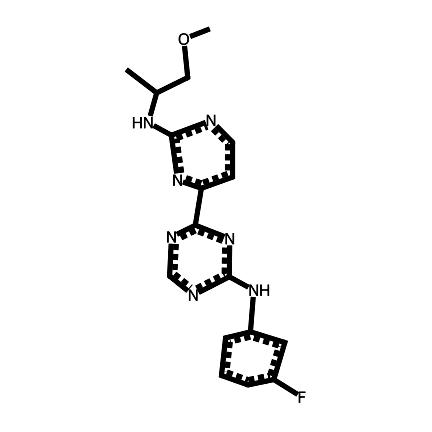 COCC(C)Nc1nccc(-c2ncnc(Nc3cccc(F)c3)n2)n1